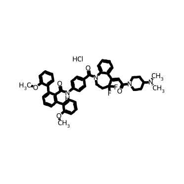 COc1ccccc1-c1cccc(-c2ccccc2OC)c1C(=O)Nc1ccc(C(=O)N2CCC(F)(F)/C(=C\C(=O)N3CCC(N(C)C)CC3)c3ccccc32)cc1.Cl